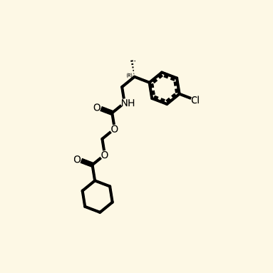 [CH2][C@@H](CNC(=O)OCOC(=O)C1CCCCC1)c1ccc(Cl)cc1